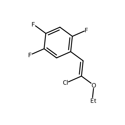 CCOC(Cl)=Cc1cc(F)c(F)cc1F